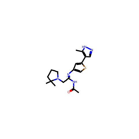 CC(=O)N/C(CN1CCCC1(C)C)=N\c1csc(-c2cn[nH]c2C)c1